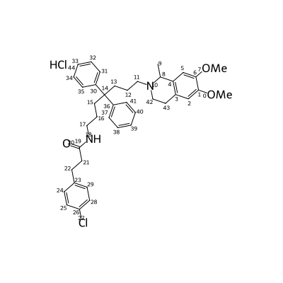 COc1cc2c(cc1OC)C(C)N(CCCC(CCCNC(=O)CCc1ccc(Cl)cc1)(c1ccccc1)c1ccccc1)CC2.Cl